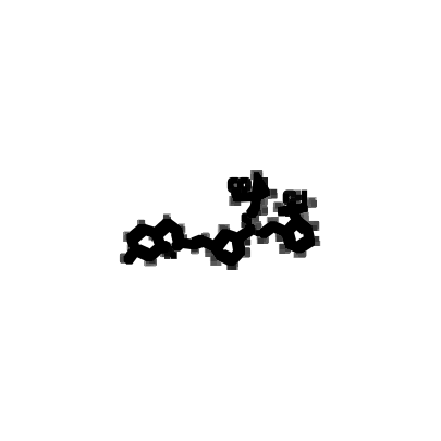 Cc1ccc2ccc(/C=C/c3cccc([C@@H](CCc4ccccc4C(C)(C)O)SCC4(CC(=O)O)CC4)c3)nc2c1